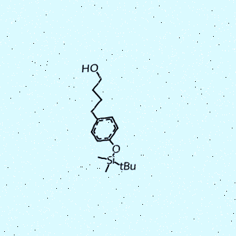 CC(C)(C)[Si](C)(C)Oc1ccc(CCCCO)cc1